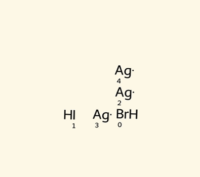 Br.I.[Ag].[Ag].[Ag]